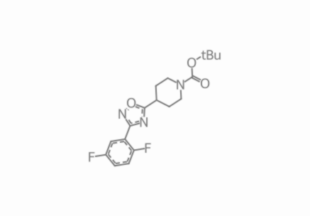 CC(C)(C)OC(=O)N1CCC(c2nc(-c3cc(F)ccc3F)no2)CC1